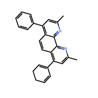 Cc1cc(C2=CCCC=C2)c2ccc3c(-c4ccccc4)cc(C)nc3c2n1